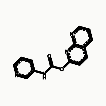 O=C(Nc1cccnc1)Oc1ccc2cccnc2n1